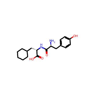 N[C@@H](Cc1ccc(O)cc1)C(=O)N[C@@H](CC1CCCCC1)C(=O)O